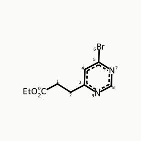 CCOC(=O)CCc1cc(Br)ncn1